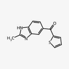 Cc1nc2cc(C(=O)c3cccs3)ccc2[nH]1